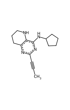 CC#Cc1nc2c(c(NC3CCCC3)n1)NCCC2